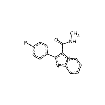 CNC(=O)c1c(-c2ccc(F)cc2)nc2ccccn12